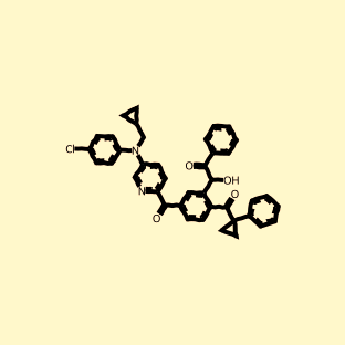 O=C(c1ccc(C(=O)C2(c3ccccc3)CC2)c(C(O)C(=O)c2ccccc2)c1)c1ccc(N(CC2CC2)c2ccc(Cl)cc2)cn1